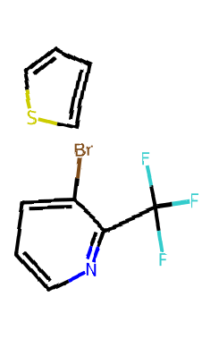 FC(F)(F)c1ncccc1Br.c1ccsc1